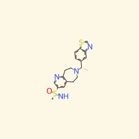 C[C@@H](c1ccc2scnc2c1)N1CCc2cc([S@](C)(=N)=O)cnc2CC1